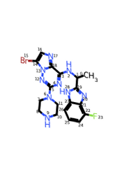 CC(Nc1nc(N2CCNCC2)nn2c(Br)cnc12)c1nc2c(F)cccc2[nH]1